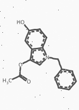 CC(=O)Oc1cn(Cc2ccccc2)c2ccc(O)cc12